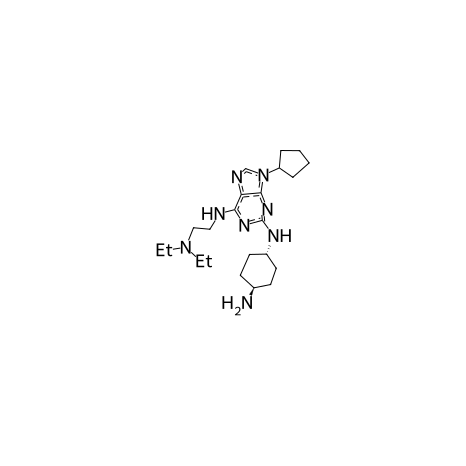 CCN(CC)CCNc1nc(N[C@H]2CC[C@H](N)CC2)nc2c1ncn2C1CCCC1